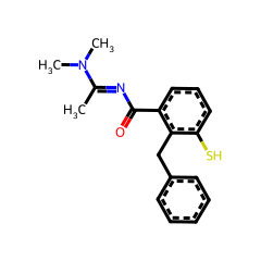 C/C(=N\C(=O)c1cccc(S)c1Cc1ccccc1)N(C)C